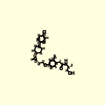 C[C@H](CO)NC(=O)Cc1ccc(OCC[C@@H]2C[C@@H]2C2CCN(c3ncc(Cl)cn3)CC2)cc1F